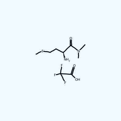 CSCC[C@H](N)C(=O)N(C)C.O=C(O)C(F)(F)F